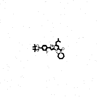 CC(C)Cc1cc(C(=O)N2CCCCC[C@H]2C)nc2cc(-c3ccc(B4OC(C)(C)C(C)(C)O4)cc3F)nn12